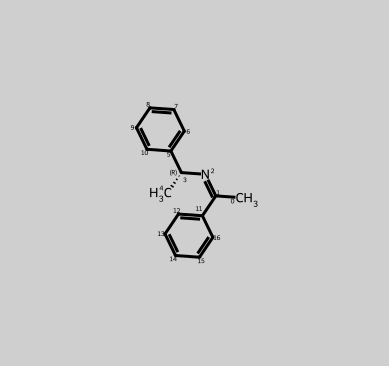 CC(=N[C@H](C)c1ccccc1)c1ccccc1